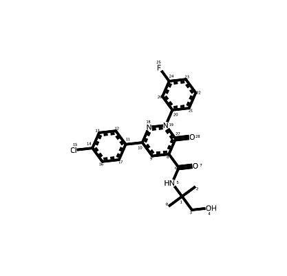 CC(C)(CO)NC(=O)c1cc(-c2ccc(Cl)cc2)nn(-c2cccc(F)c2)c1=O